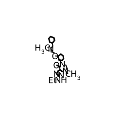 CCNc1ncc2c(n1)N(C)CCN(c1cccc(OCCN(C)Cc3ccccc3)c1)C2=O